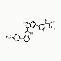 C=C(Nc1cncc(-c2cnc3[nH]nc(-c4cc5c(N6CCN(C)CC6)cccc5[nH]4)c3c2)c1)C(C)C